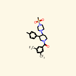 Cc1ccc(C2CN(C(=O)c3cc(C(F)(F)F)cc(C(F)(F)F)c3)CCC2N2CCN(S(C)(=O)=O)CC2)cc1